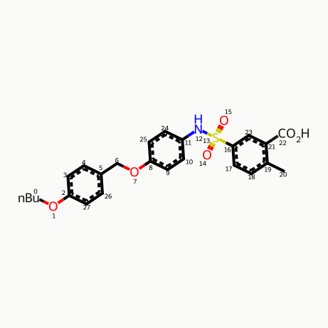 CCCCOc1ccc(COc2ccc(NS(=O)(=O)c3ccc(C)c(C(=O)O)c3)cc2)cc1